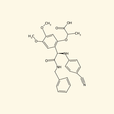 COc1cc(OC(C)C(=O)O)c([C@@H](Nc2ccc(C#N)cc2)C(=O)NCc2ccccc2)cc1OC